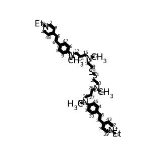 CCN1C=CC(/C=C/c2ccc(N(C)CCCN(C)CCSSCCN(C)CCCN(C)c3ccc(/C=C/c4cc[n+](CC)cc4)cc3)cc2)=CC1